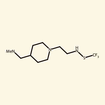 CNCC1CCN(CCNSC(F)(F)F)CC1